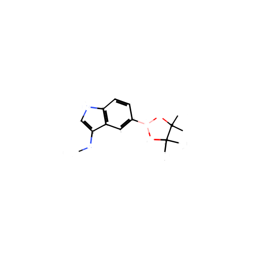 CC1(C)OB(c2ccc3[nH]cc(NC(=O)O)c3c2)OC1(C)C